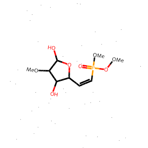 COOP(=O)(/C=C\C1OC(O)C(OC)C1O)OC